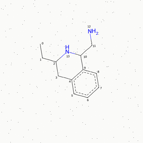 CCC1Cc2ccccc2C(CN)N1